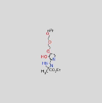 CCCOCCOCCOc1ccnc(C2=NC(C)(C(=O)OCC)CN2)c1O